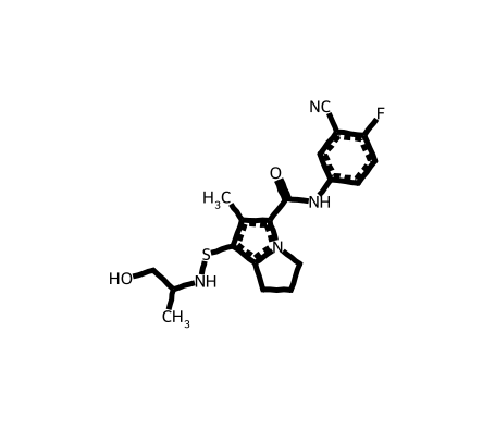 Cc1c(SNC(C)CO)c2n(c1C(=O)Nc1ccc(F)c(C#N)c1)CCC2